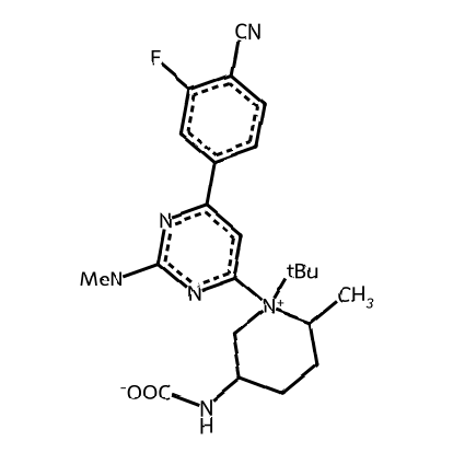 CNc1nc(-c2ccc(C#N)c(F)c2)cc([N+]2(C(C)(C)C)CC(NC(=O)[O-])CCC2C)n1